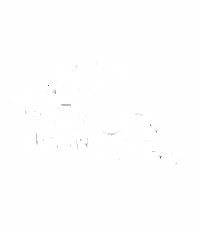 Cc1ccc(CN2CCO[C@H]([C@@H](O)C(=O)Nc3ccc4c(N)nccc4c3)C2=O)cc1